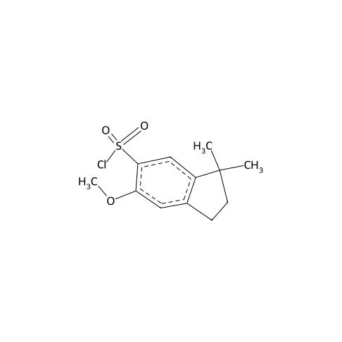 COc1cc2c(cc1S(=O)(=O)Cl)C(C)(C)CC2